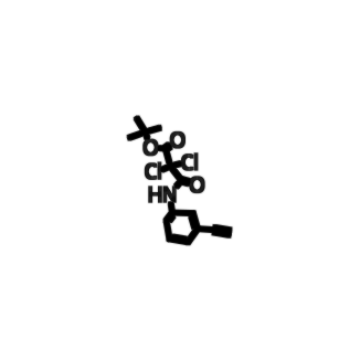 C#Cc1cccc(NC(=O)C(Cl)(Cl)C(=O)OC(C)(C)C)c1